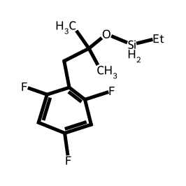 CC[SiH2]OC(C)(C)Cc1c(F)cc(F)cc1F